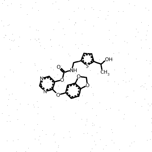 CC(O)c1ccc(CNC(=O)Oc2cncnc2Oc2ccc3c(c2)OCO3)s1